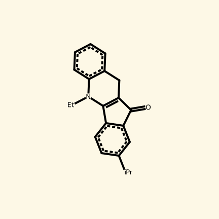 CCN1C2=C(Cc3ccccc31)C(=O)c1cc(C(C)C)ccc12